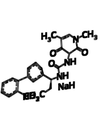 CC1=CN(C)C(=O)C(NC(=O)N[C@@H](CC(=O)O)c2cccc(-c3ccccc3C)c2)C1=O.[NaH]